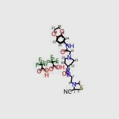 N#CC1CSCN1CCn1on1C1CCN(CC(=O)Nc2ccc3c(c2)OCCO3)CC1.O=C(O)C(F)(F)F.O=C(O)C(F)(F)F